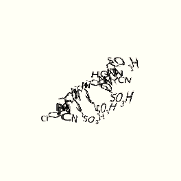 Cc1cc(N=Nc2cc(SCCCS(=O)(=O)O)c(N=Nc3cc(OCCCS(=O)(=O)O)c(N=Nc4c(C)c(C#N)c5nc6c(C)c(S(=O)(=O)O)ccc6n5c4O)cc3C)cc2C)c(SCCCS(=O)(=O)O)cc1N=Nc1ccc(Cl)cc1C#N